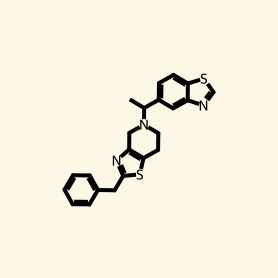 CC(c1ccc2scnc2c1)N1CCc2sc(Cc3ccccc3)nc2C1